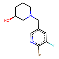 O[C@H]1CCCN(Cc2cnc(Br)c(F)c2)C1